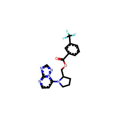 O=C(OCC1CCCN1c1ccnc2ncnn12)c1cccc(C(F)(F)F)c1